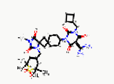 CN1C(=O)N(CC2CC(C)(C)S(=O)(=O)C(C)(C)C2)C2(CC3(CCC(N4C(=O)C(=C(N)N)C(=O)N(CC5CCC5)C4=O)CC3)C2)C1=O